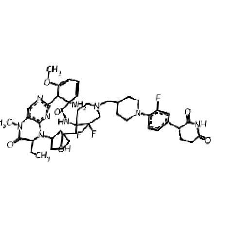 CCC1C(=O)N(C)c2cnc(C3C(OC)=CC=CC3(N)C(=O)NC3(CCO)CCN(CC4CCN(c5ccc(C6CCC(=O)NC6=O)cc5F)CC4)CC3(F)F)nc2N1C1CCCC1